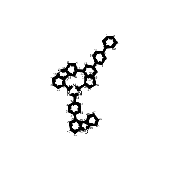 c1ccc(-c2ccc(-c3cccc(-c4ccc5sc6cccc(-c7nc(-c8ccccc8)nc(-c8ccc(-c9cccc%10oc%11ccccc%11c9%10)cc8)n7)c6c5c4)c3)cc2)cc1